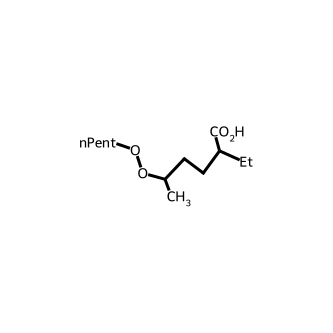 CCCCCOOC(C)CCC(CC)C(=O)O